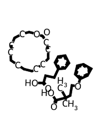 CC(C)(CCOc1ccccc1)C(=O)O.O=C(O)CCc1ccccc1.O=C1CCCCCCCCCCCCCCO1